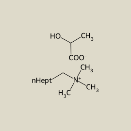 CC(O)C(=O)[O-].CCCCCCCC[N+](C)(C)C